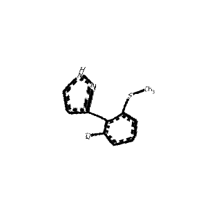 CSc1cccc(Cl)c1-c1cc[nH]n1